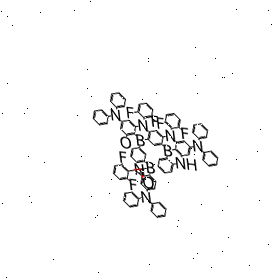 Fc1cccc(F)c1N1c2cc3c(cc2B2c4ccccc4Nc4cc(N(c5ccccc5)c5ccccc5)cc1c42)B1c2cc4c(cc2Oc2cc(N(c5ccccc5)c5ccccc5)cc(c21)N3c1c(F)cccc1F)N(c1c(F)cccc1F)c1cc(N(c2ccccc2)c2ccccc2)cc2c1B4c1ccccc1O2